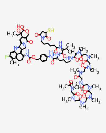 CC[C@@]1(O)C(=O)OCc2c1cc1n(c2=O)Cc2c-1nc1cc(F)c(C)c3c1c2[C@@H](NC(=O)OCc1ccc(NC(=O)[C@H](CCCCNC(=O)CN(C)C(=O)CN(C)C(=O)CN(C)C(=O)CN(C)C(=O)CN(C)C(=O)CN(C)C(=O)CN(C)C(=O)CN(C)C(=O)CN(C)C(=O)CN(C)C(C)=O)NC(=O)[C@@H](NC(=O)CCCCCN2C(=O)CC(S)C2=O)C(C)C)cc1)CC3